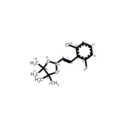 CC1(C)OB(/C=C/c2c(F)cccc2Cl)OC1(C)C